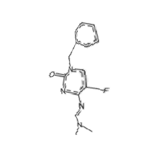 CN(C)/C=N/c1nc(=O)n(Cc2ccccc2)cc1F